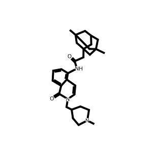 CN1CCC(Cn2ccc3c(NC(=O)CC45CC6CC(C)(CC(C)(C6)C4)C5)cccc3c2=O)CC1